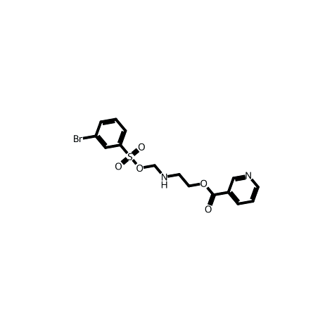 O=C(OCCNCOS(=O)(=O)c1cccc(Br)c1)c1cccnc1